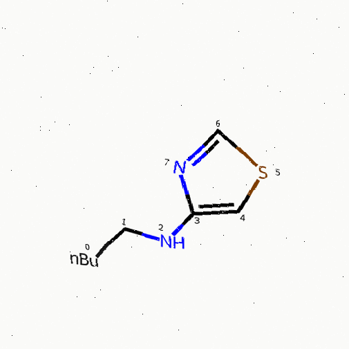 CCCCCNc1cscn1